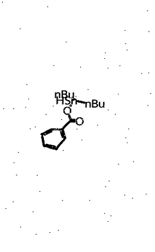 CCC[CH2][SnH]([CH2]CCC)[O]C(=O)c1ccccc1